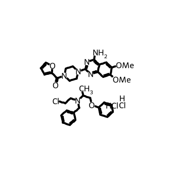 CC(COc1ccccc1)N(CCCl)Cc1ccccc1.COc1cc2nc(N3CCN(C(=O)c4ccco4)CC3)nc(N)c2cc1OC.Cl.Cl